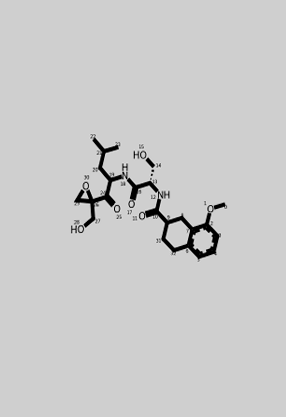 COc1cccc2c1CC(C(=O)N[C@@H](CO)C(=O)NC(CC(C)C)C(=O)C1(CO)CO1)CC2